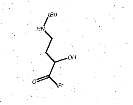 CC(C)C(=O)C(O)CCNC(C)(C)C